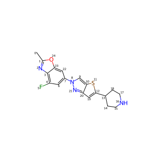 Cc1nc2c(F)cc(-n3cc4sc(C5CCNCC5)cc4n3)cc2o1